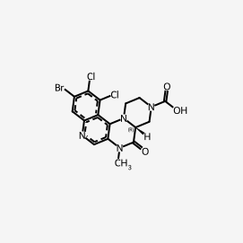 CN1C(=O)[C@H]2CN(C(=O)O)CCN2c2c1cnc1cc(Br)c(Cl)c(Cl)c21